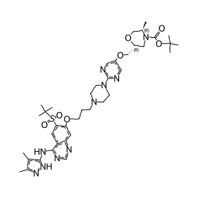 Cc1n[nH]c(Nc2ncnc3cc(OCCCN4CCN(c5ncc(OC[C@H]6CN(C(=O)OC(C)(C)C)[C@H](C)CO6)cn5)CC4)c(S(=O)(=O)C(C)(C)C)cc23)c1C